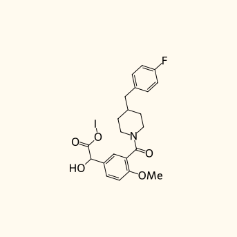 COc1ccc(C(O)C(=O)OI)cc1C(=O)N1CCC(Cc2ccc(F)cc2)CC1